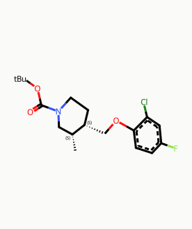 C[C@@H]1CN(C(=O)OC(C)(C)C)CC[C@@H]1COc1ccc(F)cc1Cl